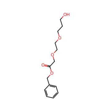 O=C(COCCOCCCO)OCc1ccccc1